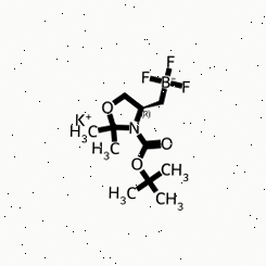 CC(C)(C)OC(=O)N1[C@H](C[B-](F)(F)F)COC1(C)C.[K+]